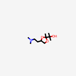 CN(C)CCC1COC(C)(C(C)(C)O)O1